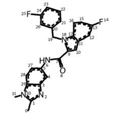 Cc1nc2cc(NC(=O)c3cc4cc(F)ccc4n3Cc3cccc(F)c3)ccc2n1C